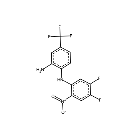 Nc1cc(C(F)(F)F)ccc1Nc1cc(F)c(F)cc1[N+](=O)[O-]